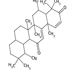 CC1(C)CCC2CCC3(C)C(C(=O)C=C4C5(C)C=CC(=O)C(C)(C)C5C(O)CC43C)C2C1C#N